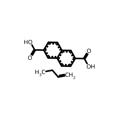 C=CCC.O=C(O)c1ccc2cc(C(=O)O)ccc2c1